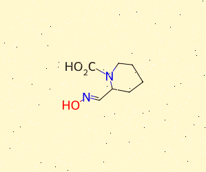 O=C(O)N1CCCCC1C=NO